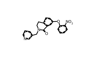 O=C1c2cc(Oc3ccccc3[N+](=O)[O-])ccc2CCN1Cc1cccnc1